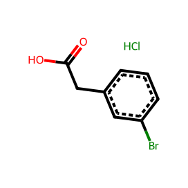 Cl.O=C(O)Cc1cccc(Br)c1